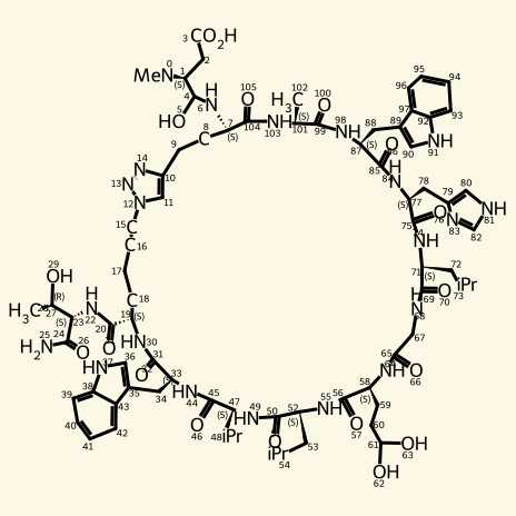 CN[C@@H](CC(=O)O)C(O)N[C@H]1CCc2cn(nn2)CCCC[C@@H](C(=O)N[C@H](C(N)=O)[C@@H](C)O)NC(=O)[C@H](Cc2c[nH]c3ccccc23)NC(=O)[C@H](C(C)C)NC(=O)[C@H](CC(C)C)NC(=O)[C@H](CCC(O)O)NC(=O)CNC(=O)[C@H](CC(C)C)NC(=O)[C@H](Cc2c[nH]cn2)NC(=O)[C@H](Cc2c[nH]c3ccccc23)NC(=O)[C@H](C)NC1=O